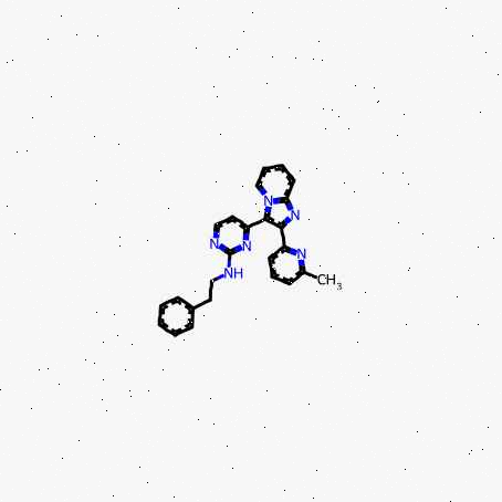 Cc1cccc(-c2nc3ccccn3c2-c2ccnc(NCCc3ccccc3)n2)n1